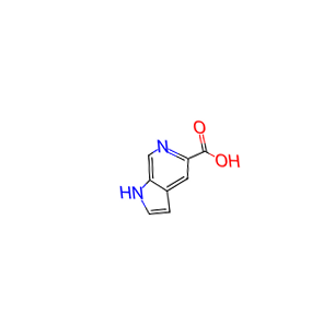 O=C(O)c1cc2cc[nH]c2cn1